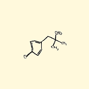 CC(C)([C]=O)Cc1ccc(Cl)cc1